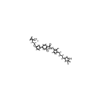 Cc1c(SNC(=O)c2ccc(-n3ccc(OCCC4(C(F)(F)F)CC4)n3)nc2Cl)cnn1CCCCC1CNC(C)(C)C1